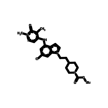 Cc1c(Nc2cc(Cl)cc3c2ccn3CCC2CCN(C(=O)OC(C)(C)C)CC2)cnn(C)c1=O